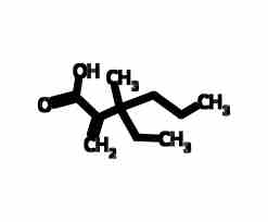 C=C(C(=O)O)C(C)(CC)CCC